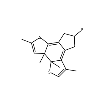 CC1=CC2(C)C(=C3CC(F)CC3=C3C(C)=CSC32C)S1